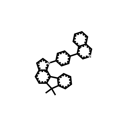 CC1(C)c2ccccc2-c2c1ccc1ccn(-c3ccc(-c4cncc5ccccc45)cc3)c21